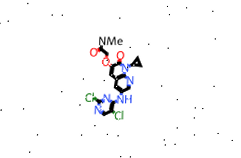 CNC(=O)COc1cc2cc(Nc3nc(Cl)ncc3Cl)cnc2n(C2CC2)c1=O